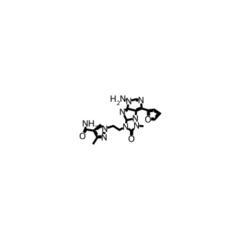 Cc1nn(CCN2C(=O)N(C)N3C4=C(c5ccco5)N=CN(N)C4=NC23)cc1C(N)=O